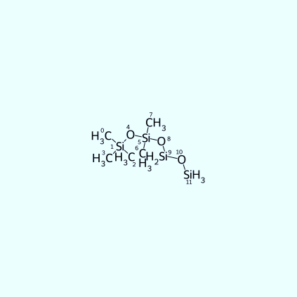 C[Si](C)(C)O[Si](C)(C)O[SiH2]O[SiH3]